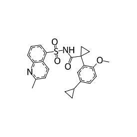 COc1ccc(C2CC2)cc1C1(C(=O)NS(=O)(=O)c2cccc3nc(C)ccc23)CC1